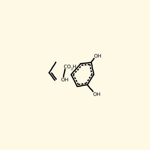 C=CC.O=C(O)O.Oc1cccc(O)c1